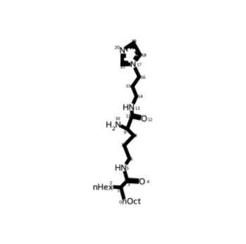 CCCCCCCCC(CCCCCC)C(=O)NCCCC(N)C(=O)NCCCn1ccnc1